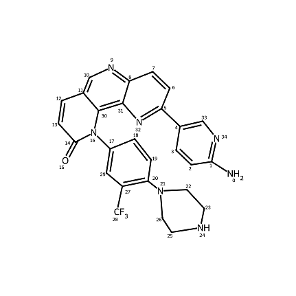 Nc1ccc(-c2ccc3ncc4ccc(=O)n(-c5ccc(N6CCNCC6)c(C(F)(F)F)c5)c4c3n2)cn1